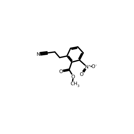 COC(=O)c1c(CCC#N)cccc1[N+](=O)[O-]